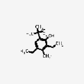 [CH2]c1c(CC)cc(C(C)(C)C)c(O)c1CC